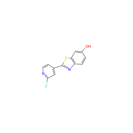 Oc1ccc2nc(-c3ccnc(F)c3)sc2c1